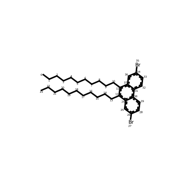 CCCCCCCCCCCc1c(CCCCCCCCCCC)c2cc(Br)ccc2c2ccc(Br)cc12